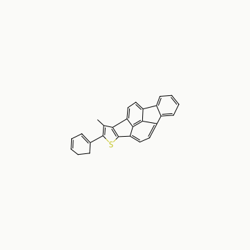 Cc1c(C2=CC=CCC2)sc2c1-c1ccc3c4c(ccc-2c14)-c1ccccc1-3